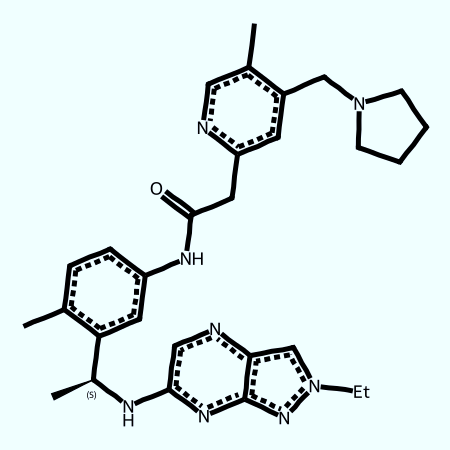 CCn1cc2ncc(N[C@@H](C)c3cc(NC(=O)Cc4cc(CN5CCCC5)c(C)cn4)ccc3C)nc2n1